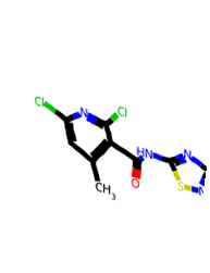 Cc1cc(Cl)nc(Cl)c1C(=O)Nc1ncns1